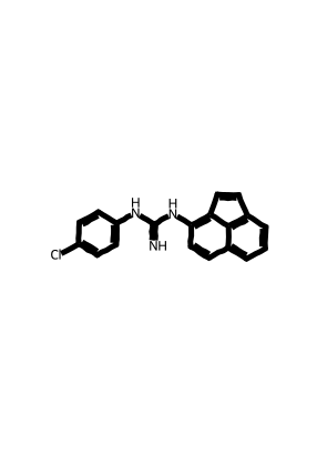 N=C(Nc1ccc(Cl)cc1)Nc1ccc2cccc3c2c1C=C3